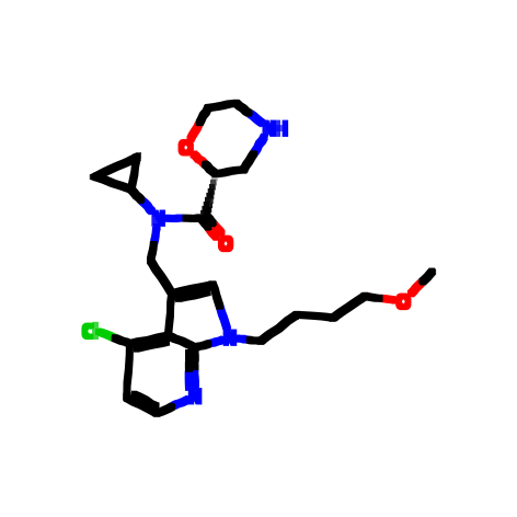 COCCCCn1cc(CN(C(=O)[C@H]2CNCCO2)C2CC2)c2c(Cl)ccnc21